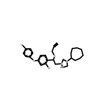 C#CCOC(CN1CN(C2CCCCCCC2)CN1)c1ccc(Oc2ccc(Cl)cc2)cc1Cl